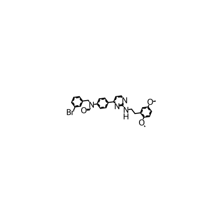 COc1ccc(OC)c(CCNc2nccc(-c3ccc(N(C=O)Cc4cccc(Br)c4)cc3)n2)c1